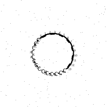 [C]1=C\C=C/C=C\C=C/C=C\C=C/C=CCCCCCCCCCCCCCC1